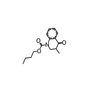 CCCCOC(=O)N1CC(C)C(=O)c2ccccc21